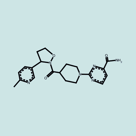 Cc1ccc(C2CCON2C(=O)C2CCN(c3nccc(C(N)=O)n3)CC2)cn1